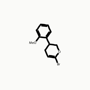 COc1ccccc1C1CC=C(Br)OC1